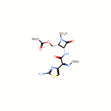 CO/N=C(\C(=O)N[C@H]1C(=O)N(S(=O)(=O)O)[C@H]1COC(=O)OC)c1csc(N)n1